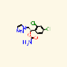 NC(=O)O[C@@H](Cn1ccnn1)c1ccc(Cl)cc1Cl